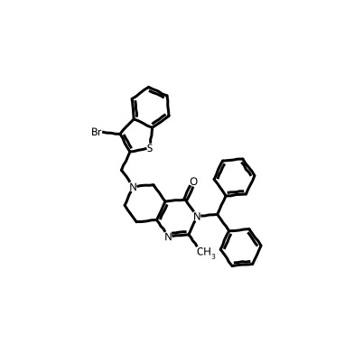 Cc1nc2c(c(=O)n1C(c1ccccc1)c1ccccc1)CN(Cc1sc3ccccc3c1Br)CC2